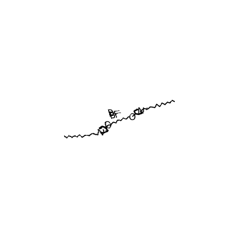 CCCCCCCCCCCC[n+]1ccc(OCCCCCCCCOc2cc[n+](CCCCCCCCCCCC)cc2)cc1.[Br-].[Br-]